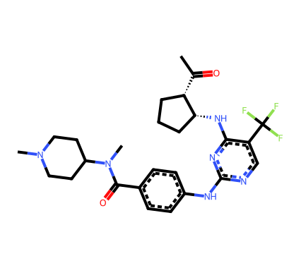 CC(=O)[C@H]1CCC[C@H]1Nc1nc(Nc2ccc(C(=O)N(C)C3CCN(C)CC3)cc2)ncc1C(F)(F)F